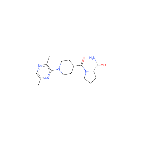 Cc1cnc(C)c(N2CCC(C(=O)N3CCC[C@H]3C(N)=O)CC2)n1